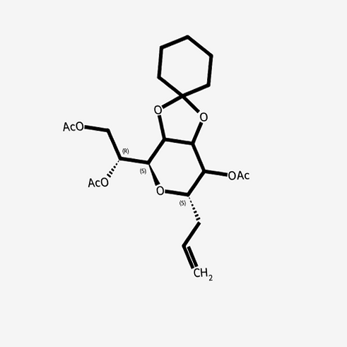 C=CC[C@@H]1O[C@@H]([C@@H](COC(C)=O)OC(C)=O)C2OC3(CCCCC3)OC2C1OC(C)=O